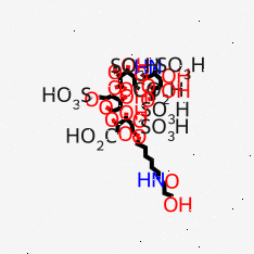 O=C(CCO)NCCCCCCOC1OC(C(=O)O)C(OC2CC(O)C(OC3OC(C(=O)O)C(OC4OC(COS(=O)(=O)O)C(O)C(O)C4NS(=O)(=O)O)C(O)C3OS(=O)(=O)O)C(COS(=O)(=O)O)O2)C(O)C1OS(=O)(=O)O